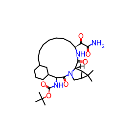 CC(C)(C)OC(=O)N[C@@H]1C(=O)N2CC3C([C@H]2C(=O)N[C@H](C(=O)C(N)=O)CCCCCCCC2CCCC1C2)C3(C)C